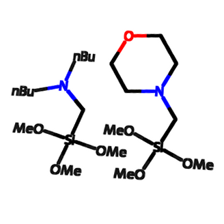 CCCCN(CCCC)C[Si](OC)(OC)OC.CO[Si](CN1CCOCC1)(OC)OC